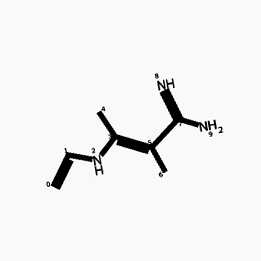 C=CN/C(C)=C(\C)C(=N)N